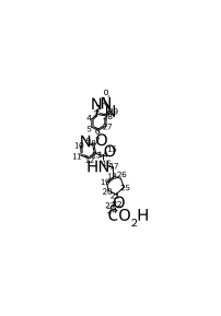 Cn1nc2ccc(Oc3ncccc3C(=O)NCC3=CCC(OCC(=O)O)CC3)cc2n1